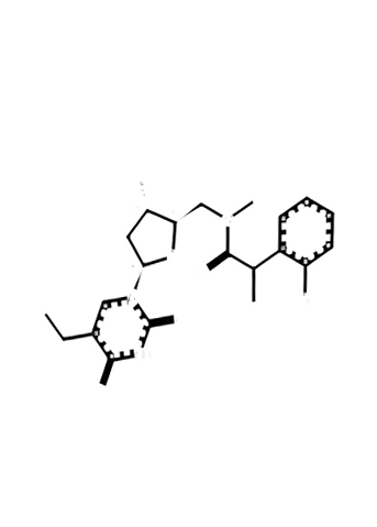 CCc1cn([C@H]2C[C@H](O)[C@@H](CN(C)C(=O)C(C)c3ccccc3Br)O2)c(=O)[nH]c1=O